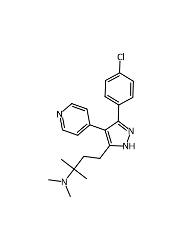 CN(C)C(C)(C)CCc1[nH]nc(-c2ccc(Cl)cc2)c1-c1ccncc1